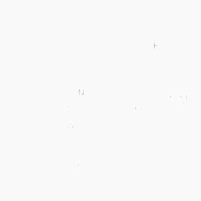 O=C(O)COc1ccc(Cl)cc1C1c2ccc(F)cc2CCN1C(=O)C1CC1c1ccccc1